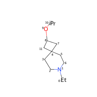 CCN1CCC2(CC1)CC(OC(C)C)C2